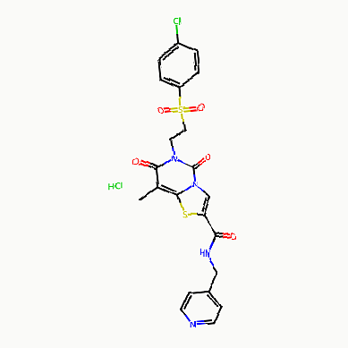 Cc1c(=O)n(CCS(=O)(=O)c2ccc(Cl)cc2)c(=O)n2cc(C(=O)NCc3ccncc3)sc12.Cl